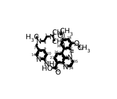 CN(C)CCN(C)Cc1ccc(N)nc1.COc1cc(OC)c(F)c(-c2ccc(C(=O)O)c3nccnc23)c1